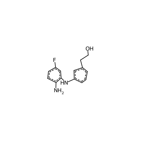 Nc1ccc(F)cc1Nc1cccc(CCO)c1